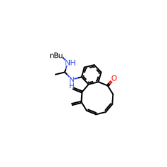 C=C1/C=C\C=C/CC(=O)c2cccc(NC(C)NCCCC)c2C1=C